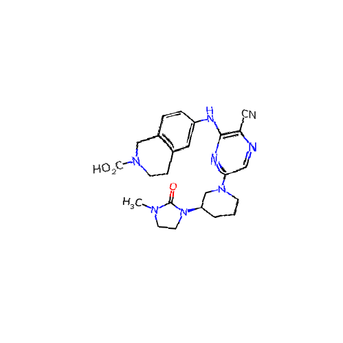 CN1CCN([C@@H]2CCCN(c3cnc(C#N)c(Nc4ccc5c(c4)CCN(C(=O)O)C5)n3)C2)C1=O